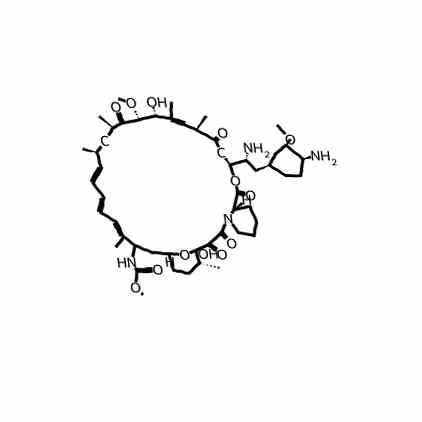 COC(=O)NC1C[C@@H]2CC[C@@H](C)[C@@](O)(O2)C(=O)C(=O)N2CCCC[C@H]2C(=O)O[C@H]([C@H](N)C[C@@H]2CC[C@H](N)[C@H](OC)C2)CC(=O)[C@H](C)/C=C(\C)[C@@H](O)[C@@H](OC)C(=O)[C@H](C)C[C@H](C)/C=C/C=C/C=C/1C